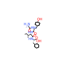 CC[C@H](C)[C@H](NC(=O)[C@H](Cc1ccc(O)cc1)NC(=O)[C@H](C)N)C(=O)N[C@@H](Cc1ccccc1)C(=O)O